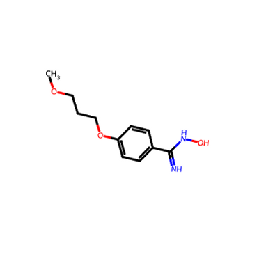 COCCCOc1ccc(C(=N)NO)cc1